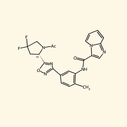 CC(=O)N1CC(F)(F)C[C@H]1c1nc(-c2ccc(C)c(NC(=O)c3cnc4ccccn34)c2)no1